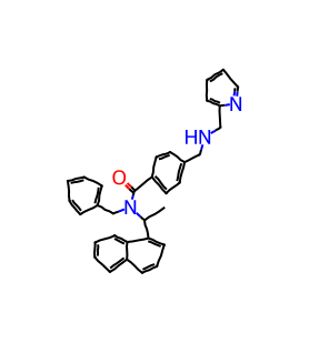 CC(c1cccc2ccccc12)N(Cc1ccccc1)C(=O)c1ccc(CNCc2ccccn2)cc1